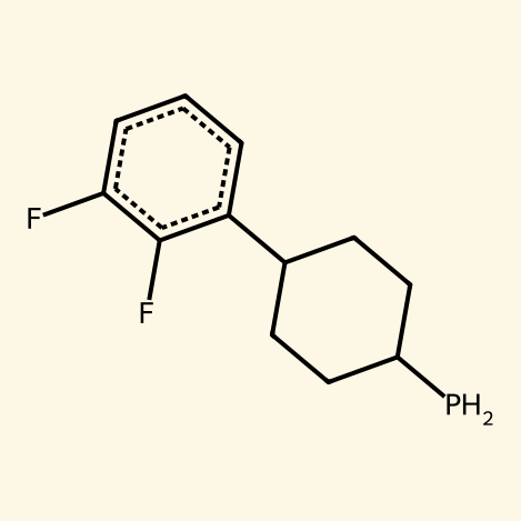 Fc1cccc(C2CCC(P)CC2)c1F